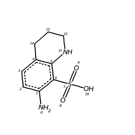 Nc1ccc2c(c1S(=O)(=O)O)NCCC2